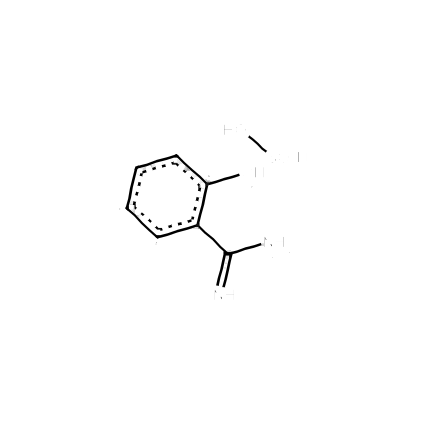 N=C(N)c1ccccc1O.O=S(=O)(O)O